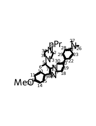 CCCN1CCN(C(C)c2c(-c3ccc(OC)cc3)nc3ccc(-c4ccc(N(C)C)cc4)cn23)CC1